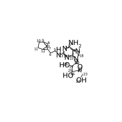 Nc1nc(NCCC2CC3CCC2C3)nc2c1ncn2[C@@H]1O[C@H](CO)C(O)C1O